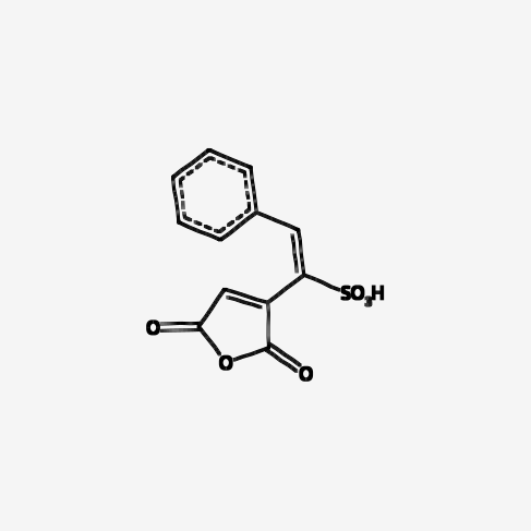 O=C1C=C(C(=Cc2ccccc2)S(=O)(=O)O)C(=O)O1